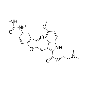 CNC(=O)Nc1ccc2c(c1)C(=O)C(=Cc1c(C(=O)N(C)CCN(C)C)[nH]c3ccc(OC)cc13)O2